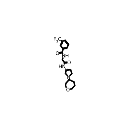 O=C(CNC(=O)c1cccc(C(F)(F)F)c1)N[C@@H]1CCN(C2CCCOCC2)C1